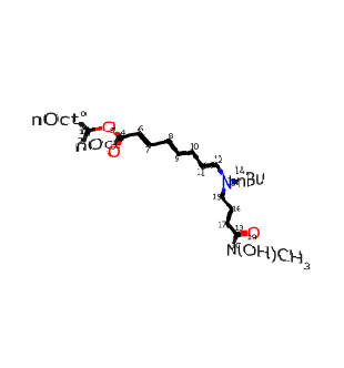 CCCCCCCCC(CCCCCCCC)OC(=O)CCCCCCCN(CCCC)CCCC(=O)N(C)O